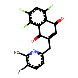 N#Cc1nc(CC2=CC(=O)c3c(F)cc(F)c(F)c3C2=O)ccc1C(F)(F)F